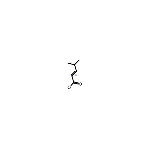 CC(C)/C=C/C([O])=O